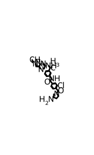 CCn1cc2ncc(N[C@@H](C)c3cccc(NC(=O)c4ccc(C(=O)N5CC[C@@H](N)C5)c(Cl)c4)c3)nc2n1